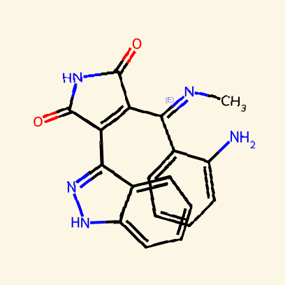 C/N=C(/C1=C(c2n[nH]c3ccccc23)C(=O)NC1=O)c1ccccc1N